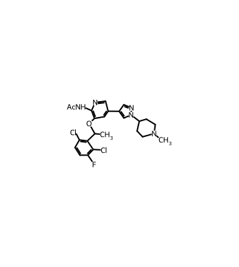 CC(=O)Nc1ncc(-c2cnn(C3CCN(C)CC3)c2)cc1OC(C)c1c(Cl)ccc(F)c1Cl